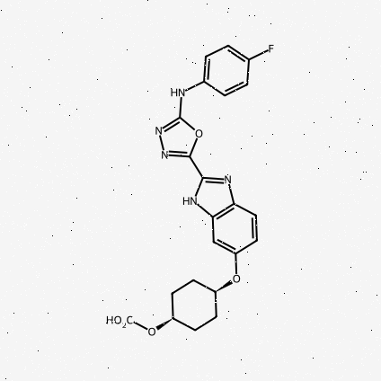 O=C(O)O[C@H]1CC[C@@H](Oc2ccc3nc(-c4nnc(Nc5ccc(F)cc5)o4)[nH]c3c2)CC1